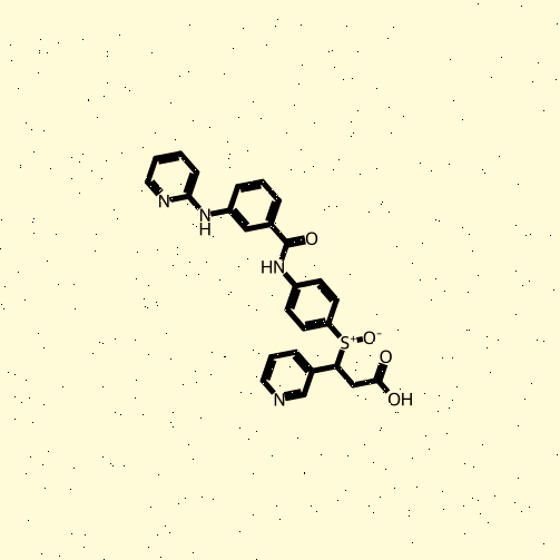 O=C(O)CC(c1cccnc1)[S+]([O-])c1ccc(NC(=O)c2cccc(Nc3ccccn3)c2)cc1